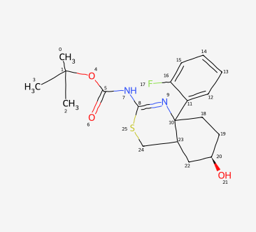 CC(C)(C)OC(=O)NC1=NC2(c3ccccc3F)CC[C@@H](O)CC2CS1